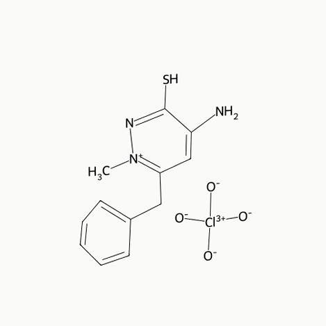 C[n+]1nc(S)c(N)cc1Cc1ccccc1.[O-][Cl+3]([O-])([O-])[O-]